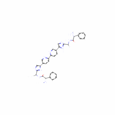 CC(NC(=O)[C@@H](NC(=O)O)c1ccccc1)c1ncc(-c2ccc(-c3ccc(-c4cnc(C(C)NC(=O)[C@@H](NC(=O)O)c5ccccc5)[nH]4)cn3)nc2)[nH]1